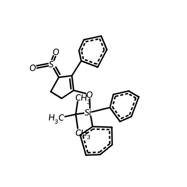 CC(C)(C)[Si](OC1=C(c2ccccc2)C(=S(=O)=O)CC1)(c1ccccc1)c1ccccc1